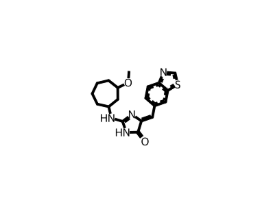 COC1CCCCC(NC2=N/C(=C\c3ccc4ncsc4c3)C(=O)N2)C1